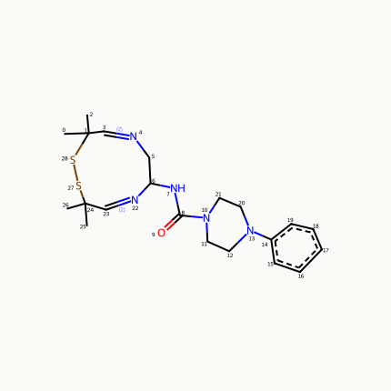 CC1(C)/C=N\CC(NC(=O)N2CCN(c3ccccc3)CC2)/N=C\C(C)(C)SS1